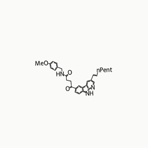 CCCCCC=Cc1cnc2[nH]c3ccc(C(=O)CCC(=O)NCc4ccc(OC)cc4)cc3c2c1